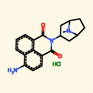 CN1C2CCC1CC(N1C(=O)c3cccc4c(N)ccc(c34)C1=O)C2.Cl